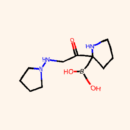 O=C(CNN1CCCC1)C1(B(O)O)CCCN1